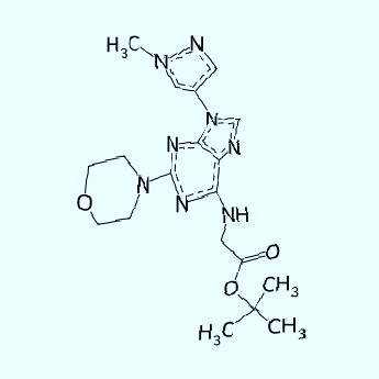 Cn1cc(-n2cnc3c(NCC(=O)OC(C)(C)C)nc(N4CCOCC4)nc32)cn1